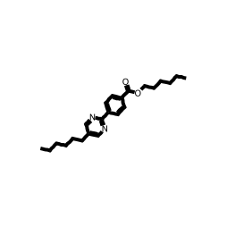 CCCCCCOC(=O)c1ccc(-c2ncc(CCCCCC)cn2)cc1